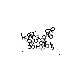 CS(C)(C)c1ccc2c(c1)c(N(c1ccccc1)c1ccccc1-c1ccccc1)cc1c3ccc(S(C)(C)C)c4c3c(cc21)-c1ccc(N(c2ccccc2)c2cccc3c2oc2ccccc23)cc1O4